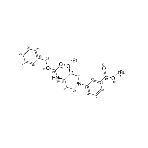 CCO[C@H]1CN(c2cccc(C(=O)OC(C)(C)C)c2)CC[C@H]1NC(=O)OCc1ccccc1